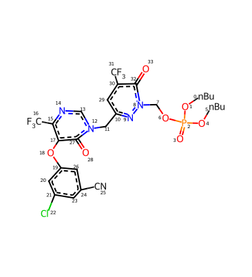 CCCCOP(=O)(OCCCC)OCn1nc(Cn2cnc(C(F)(F)F)c(Oc3cc(Cl)cc(C#N)c3)c2=O)cc(C(F)(F)F)c1=O